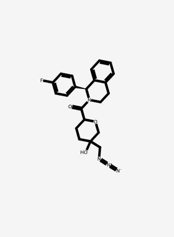 [N-]=[N+]=NCC1(O)CCC(C(=O)N2CCc3ccccc3[C@@H]2c2ccc(F)cc2)OC1